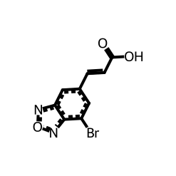 O=C(O)C=Cc1cc(Br)c2nonc2c1